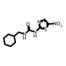 O=C(NCC1CCCCC1)Nc1ncc([N+](=O)[O-])s1